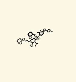 Cc1nc(OC2CC(C)C2)ccc1-c1nc2c(c(=O)n(CCCOC3CCCCO3)c(=O)n2C(C)C)n1Cc1ccccc1